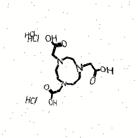 Cl.Cl.Cl.O=C(O)CN1CCN(CC(=O)O)CCN(CC(=O)O)CC1